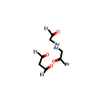 CC(=O)CC(=O)C(C)C.CCC(=O)CC(=O)CC.CCC(=O)CC(C)=O